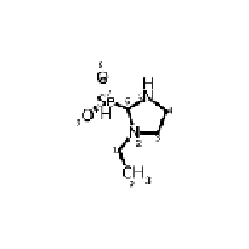 CCN1CCNC1[SeH](=O)=O